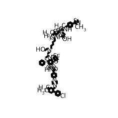 Cc1ncsc1-c1ccc([C@H](C)NC(=O)[C@@H]2C[C@@H](O)CN2C(=O)[C@@H](NC(=O)CCCCCN(CCO)CC[C@H](CSc2ccccc2)Nc2ccc(S(=O)(=O)NC(=O)c3ccc(N4CCN(CC5=C(c6ccc(Cl)cc6)CCC(C)(C)C5)CC4)cc3)cc2S(=O)(=O)C(F)(F)F)C(C)(C)C)cc1